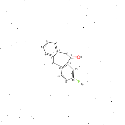 O=C1Cc2ccccc2Cc2ccc(F)cc21